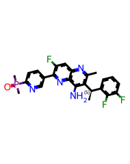 Cc1nc2cc(F)c(-c3ccc(P(C)(C)=O)nc3)nc2c(N)c1[C@H](C)c1cccc(F)c1F